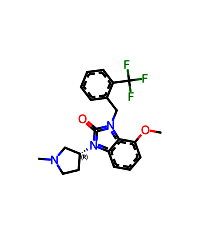 COc1cccc2c1n(Cc1ccccc1C(F)(F)F)c(=O)n2[C@@H]1CCN(C)C1